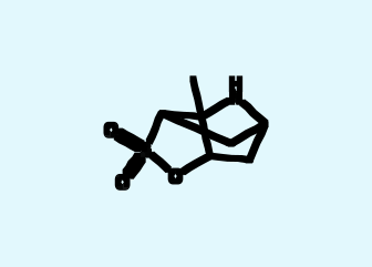 CC12NC3CC1OS(=O)(=O)C2C3